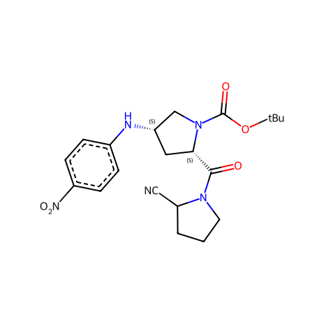 CC(C)(C)OC(=O)N1C[C@@H](Nc2ccc([N+](=O)[O-])cc2)C[C@H]1C(=O)N1CCCC1C#N